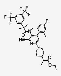 CCOC(=O)C(C)C1CCN(c2cc(-c3ccc(F)cc3C)c(N(C)C(=O)C(C)(C)c3cc(C(F)(F)F)cc(C(F)(F)F)c3)c(C#N)n2)CC1